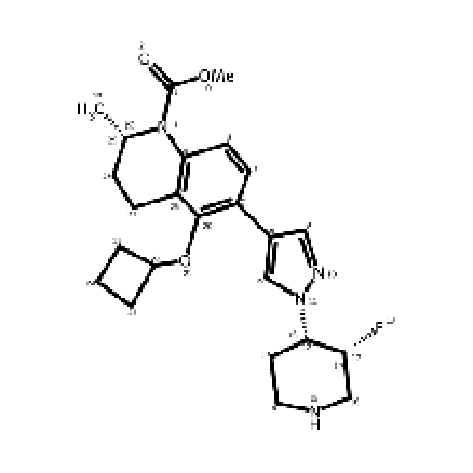 COC(=O)N1c2ccc(-c3cnn([C@H]4CCNC[C@H]4F)c3)c(OC3CCC3)c2CC[C@@H]1C